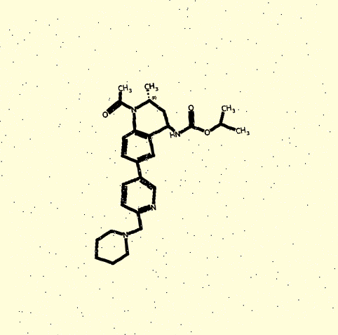 CC(=O)N1c2ccc(-c3ccc(CN4CCCCC4)nc3)cc2C(NC(=O)OC(C)C)C[C@H]1C